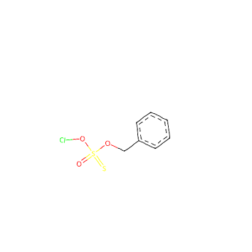 O=S(=S)(OCl)OCc1ccccc1